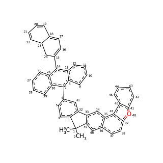 CC1(C)c2ccc(-c3c4ccccc4c(C4=CC=C5C=CC=CC5C4)c4ccccc34)cc2-c2cc3c(ccc4oc5ccccc5c43)cc21